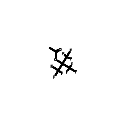 CC(=O)OC(C(F)(F)F)(C(F)(F)F)C(F)(F)F